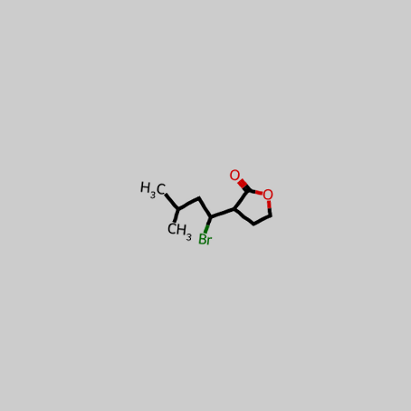 CC(C)CC(Br)C1CCOC1=O